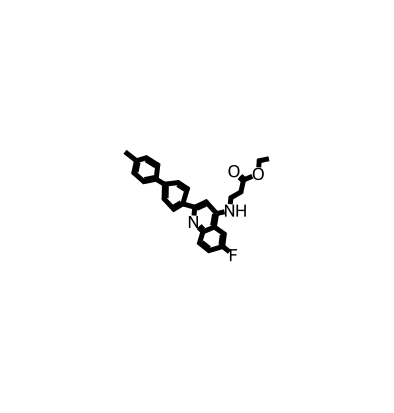 CCOC(=O)CCNc1cc(-c2ccc(-c3ccc(C)cc3)cc2)nc2ccc(F)cc12